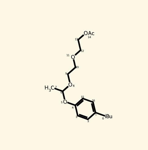 CCC(C)c1ccc(OC(C)OCCOCCOC(C)=O)cc1